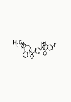 Cn1cc2c(n1)-c1ccccc1N(C(=O)c1ccc(NC(=O)c3ccc(F)cc3Cl)cc1)CC2